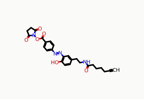 C#CCCCCC(=O)NCCc1ccc(O)c(/N=N/c2ccc(C(=O)ON3C(=O)CCC3=O)cc2)c1